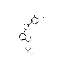 COC1CN([C@H]2CCc3c(-c4noc(-c5ccc(OC(C)C)c(C#N)c5)n4)cccc32)C1